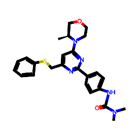 C[C@H]1COCCN1c1cc(CSc2ccccc2)nc(-c2ccc(NC(=O)N(C)C)cc2)n1